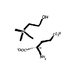 C[N+](C)(C)CCO.N[C@@H](CCC(=O)O)C(=O)[O-]